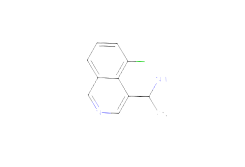 N#CC(N)c1cncc2cccc(Cl)c12